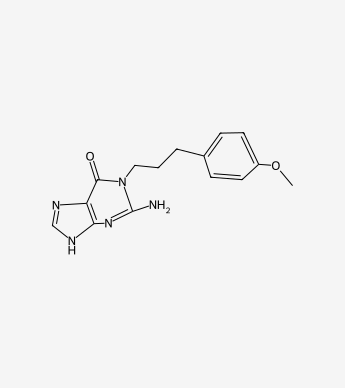 COc1ccc(CCCn2c(N)nc3[nH]cnc3c2=O)cc1